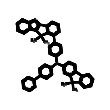 CC1(C)c2ccccc2-c2ccc(N(c3ccc(-c4ccccc4)cc3)c3ccc(-c4cccc5c4C(C)(C)c4c-5sc5ccccc45)cc3)cc21